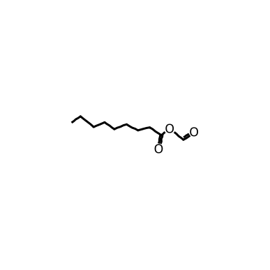 CCCCCCCCC(=O)OC=O